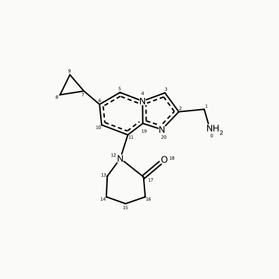 NCc1cn2cc(C3CC3)cc(N3CCCCC3=O)c2n1